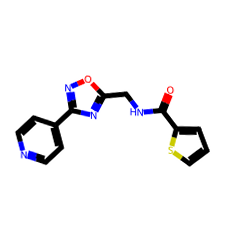 O=C(NCc1nc(-c2ccncc2)no1)c1cccs1